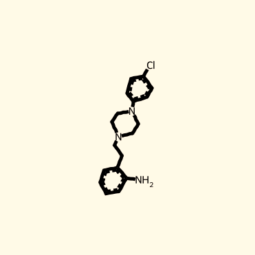 Nc1ccccc1CCN1CCN(c2ccc(Cl)cc2)CC1